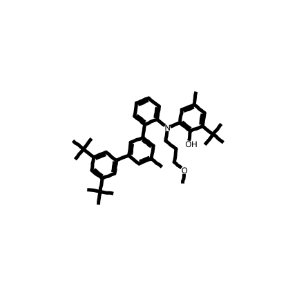 COCCCN(c1ccccc1-c1cc(C)cc(-c2cc(C(C)(C)C)cc(C(C)(C)C)c2)c1)c1cc(C)cc(C(C)(C)C)c1O